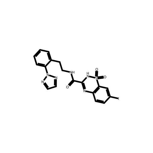 O=C(NCCc1ccccc1-n1nccn1)C1=Nc2ccc(I)cc2S(=O)(=O)N1